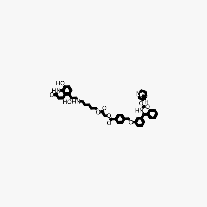 O=C(COC(=O)c1ccc(COc2cccc(C(NC(=O)O[C@H]3CN4CCC3CC4)c3ccccc3)c2)cc1)OCCCCCNC[C@@H](O)c1ccc(O)c2[nH]c(=O)ccc12